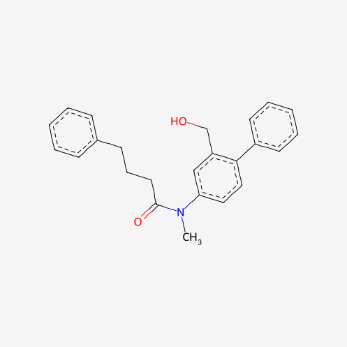 CN(C(=O)CCCc1ccccc1)c1ccc(-c2ccccc2)c(CO)c1